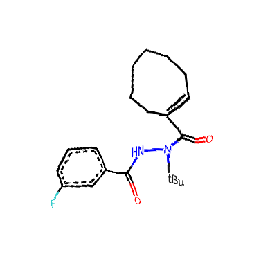 CC(C)(C)N(NC(=O)c1cccc(F)c1)C(=O)C1=CCCCCCC1